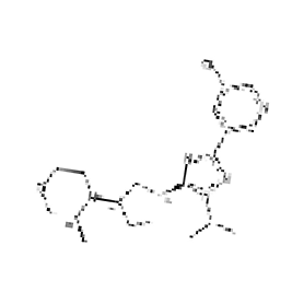 CC(C)n1nc(-c2cncc(Cl)c2)nc1[C@H]1CC[C@@H](N2CCOC[C@@H]2C)C1